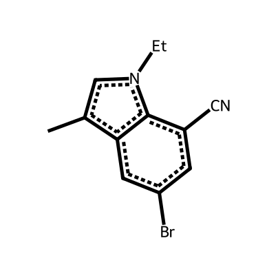 CCn1cc(C)c2cc(Br)cc(C#N)c21